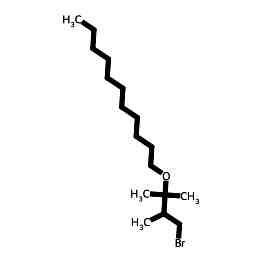 CCCCCCCCCCCOC(C)(C)[C](C)CBr